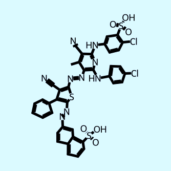 Cc1c(C#N)c(Nc2ccc(Cl)c(S(=O)(=O)O)c2)nc(Nc2ccc(Cl)cc2)c1N=Nc1sc(N=Nc2ccc3cccc(S(=O)(=O)O)c3c2)c(-c2ccccc2)c1C#N